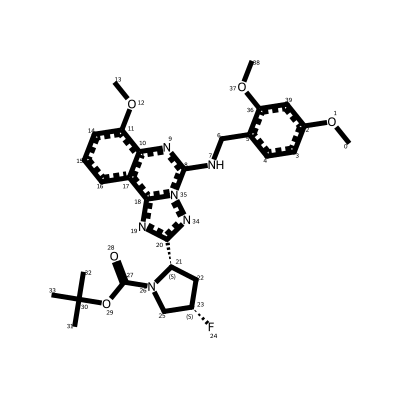 COc1ccc(CNc2nc3c(OC)cccc3c3nc([C@@H]4C[C@H](F)CN4C(=O)OC(C)(C)C)nn23)c(OC)c1